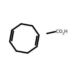 C1=CCCC=CCC1.CC(=O)O